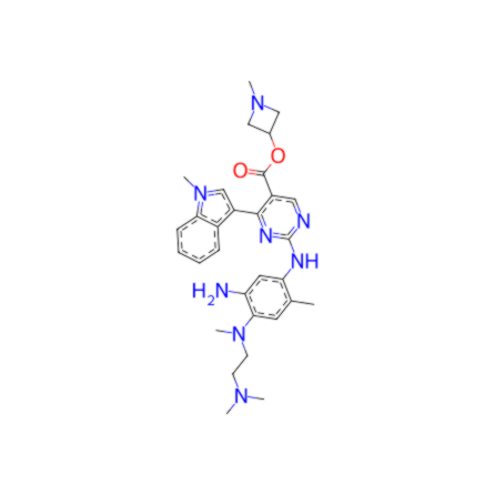 Cc1cc(N(C)CCN(C)C)c(N)cc1Nc1ncc(C(=O)OC2CN(C)C2)c(-c2cn(C)c3ccccc23)n1